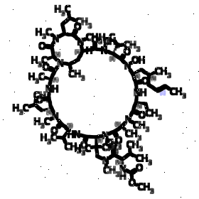 C/C=C/C[C@H](C)C[C@H]1C(=O)N[C@@H](CC)C(=O)N(C)[C@@H](C)C(=O)N(C)[C@@H](C(C)(C)CN(C)C(=O)[C@@H](NC(=O)OC)C(C)C)C(=O)N[C@@H](C(C)C)C(=O)N(C)[C@H](CC(C)C)C(=O)N[C@@H](C)C(=O)N2C(C)C[C@H](C(=O)N(C)[C@H](C(C)C)C(=O)N1O)N(C)C(=O)C(CC(C)C)N(C)C(=O)[C@@H]2C